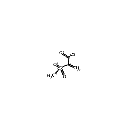 C=C(C(=O)Cl)S(C)(=O)=O